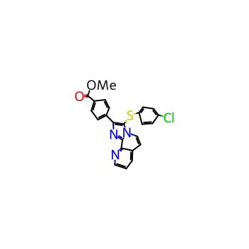 COC(=O)c1ccc(-c2nc3c4ncccc4ccn3c2Sc2ccc(Cl)cc2)cc1